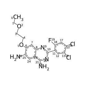 CCOCCOc1cc2nc(-c3cc(Cl)c(Cl)cc3F)nc(N)c2cc1N